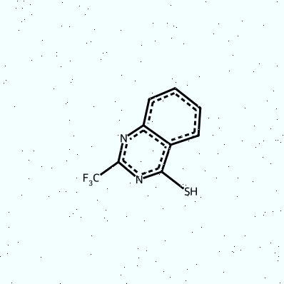 FC(F)(F)c1nc(S)c2ccccc2n1